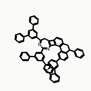 c1ccc(-c2cc(C3=NC(c4cc(-c5ccccc5)cc(-c5ccccc5)c4)=NC4=C(C3)c3ccc5c(c34)-c3cc(-c4ccc6sc7ccccc7c6c4)ccc3C(c3ccccc3)C5)cc(-c3ccccc3)c2)cc1